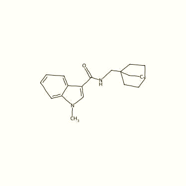 Cn1cc(C(=O)NCC23CCC(CC2)CC3)c2ccccc21